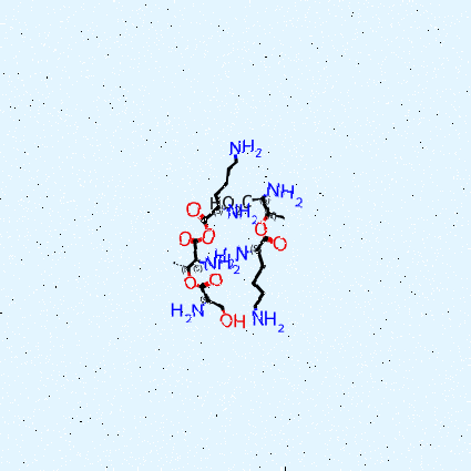 C[C@@H](OC(=O)[C@@H](N)CCCCN)[C@H](N)C(=O)O.C[C@@H](OC(=O)[C@@H](N)CO)[C@H](N)C(=O)OC(=O)[C@@H](N)CCCCN